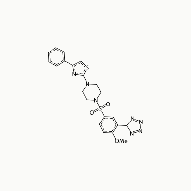 COc1ccc(S(=O)(=O)N2CCN(c3nc(-c4ccccc4)cs3)CC2)cc1C1N=NN=N1